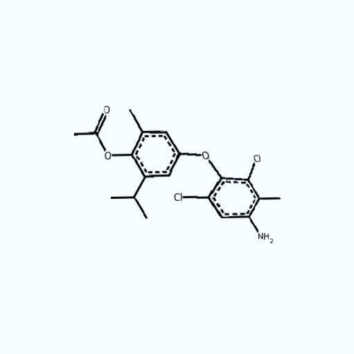 CC(=O)Oc1c(C)cc(Oc2c(Cl)cc(N)c(C)c2Cl)cc1C(C)C